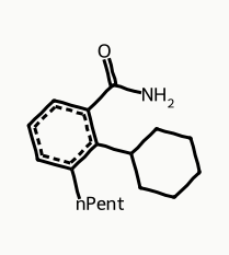 CCCCCc1cccc(C(N)=O)c1C1CCCCC1